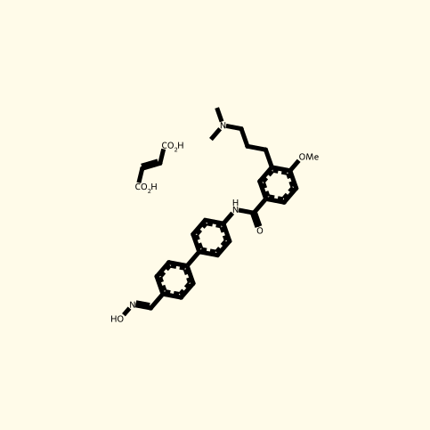 COc1ccc(C(=O)Nc2ccc(-c3ccc(C=NO)cc3)cc2)cc1CCCN(C)C.O=C(O)C=CC(=O)O